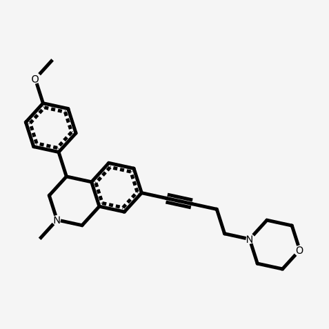 COc1ccc(C2CN(C)Cc3cc(C#CCCN4CCOCC4)ccc32)cc1